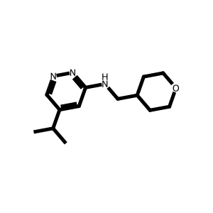 CC(C)c1cnnc(NCC2CCOCC2)c1